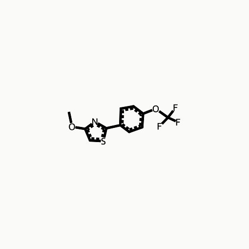 COc1csc(-c2ccc(OC(F)(F)F)cc2)n1